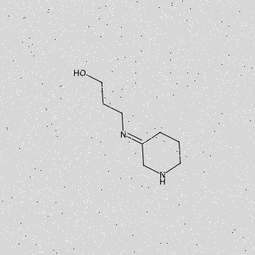 OCCCN=C1CCCNC1